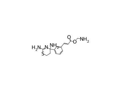 NCOC(=O)/C=C/c1cccc(C2(N)CCSC(N)=N2)c1